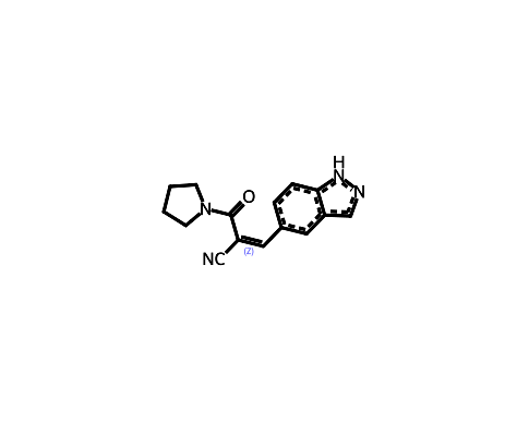 N#C/C(=C/c1ccc2[nH]ncc2c1)C(=O)N1CCCC1